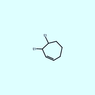 CCC1C=CCCCC1CC